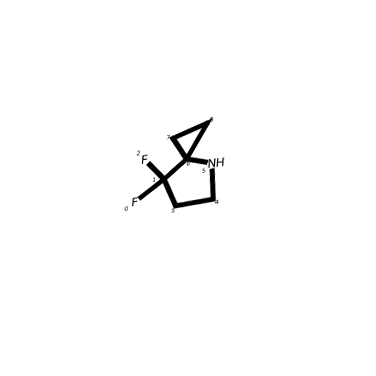 FC1(F)CCNC12CC2